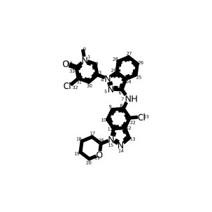 Cn1cc(-n2nc(Nc3ccc4c(cnn4C4CCCCO4)c3Cl)c3ccccc32)cc(Cl)c1=O